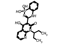 CCC(CC)n1c(=O)c(C2=NS(O)(O)c3ccccc3N2)c(O)c2cccnc21